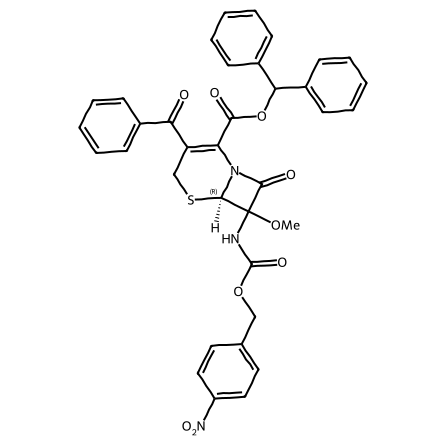 COC1(NC(=O)OCc2ccc([N+](=O)[O-])cc2)C(=O)N2C(C(=O)OC(c3ccccc3)c3ccccc3)=C(C(=O)c3ccccc3)CS[C@@H]21